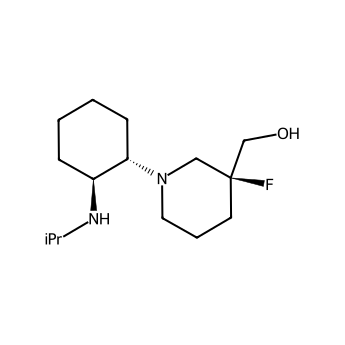 CC(C)N[C@H]1CCCC[C@@H]1N1CCC[C@@](F)(CO)C1